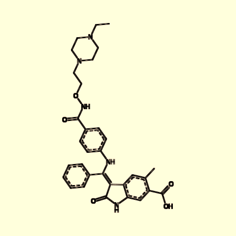 CCN1CCN(CCONC(=O)c2ccc(NC(=C3C(=O)Nc4cc(C(=O)O)c(C)cc43)c3ccccc3)cc2)CC1